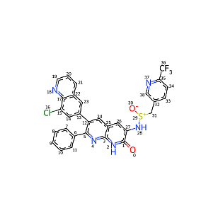 O=c1[nH]c2nc(-c3ccccc3)c(-c3cc(Cl)c4ncccc4c3)cc2cc1N[S+]([O-])Cc1ccc(C(F)(F)F)nc1